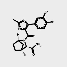 Cc1nc(C(=O)N2[C@@H]3CC[C@@H](C3)[C@H]2C(N)=O)c(-c2ccc(F)c(Br)c2)s1